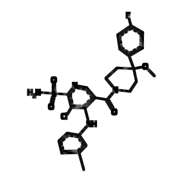 COC1(c2ccc(F)cc2)CCN(C(=O)c2cnc(S(N)(=O)=O)c(Cl)c2Nc2cccc(C)c2)CC1